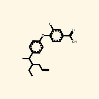 C=CCC(CC)C(C)c1ccc(Oc2ccc(C(=O)O)cc2F)cc1